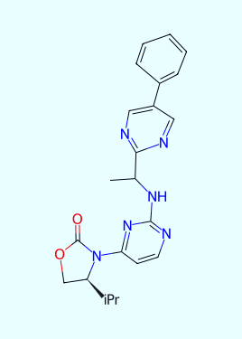 CC(Nc1nccc(N2C(=O)OC[C@@H]2C(C)C)n1)c1ncc(-c2ccccc2)cn1